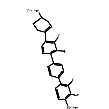 CCCCCCCC1CC=C(c2ccc(-c3ccc(-c4ccc(CCCCC)c(F)c4F)cc3)c(F)c2F)CC1